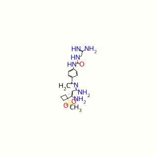 C=C(/N=C(N)\C=C(/N)C1(S(C)(=O)=O)CCC1)c1ccc(NC(=O)NCC(=N)N)cc1